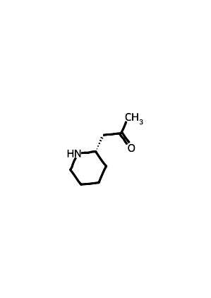 CC(=O)C[C@@H]1CCCCN1